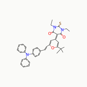 CCN1C(=O)C(=C2C=C(/C=C/c3ccc(N(c4ccccc4)c4ccccc4)cc3)OC(C(C)(C)C)=C2)C(=O)N(CC)C1=S